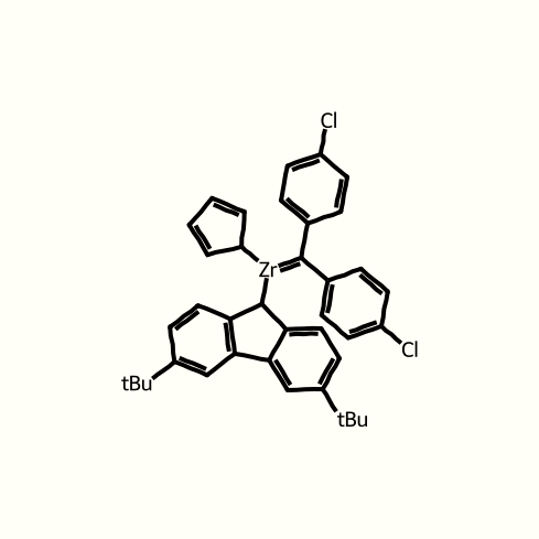 CC(C)(C)c1ccc2c(c1)-c1cc(C(C)(C)C)ccc1[CH]2[Zr](=[C](c1ccc(Cl)cc1)c1ccc(Cl)cc1)[CH]1C=CC=C1